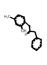 Cc1ccc(CC(=O)Cc2ccccc2)c(O)c1